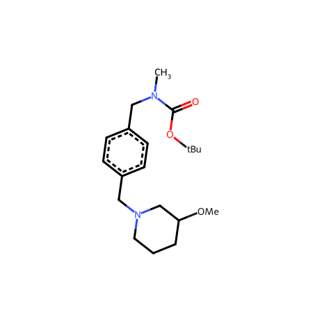 COC1CCCN(Cc2ccc(CN(C)C(=O)OC(C)(C)C)cc2)C1